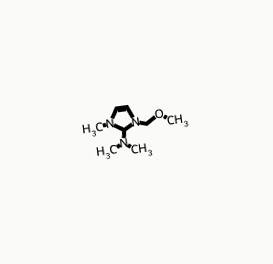 COCN1C=CN(C)C1N(C)C